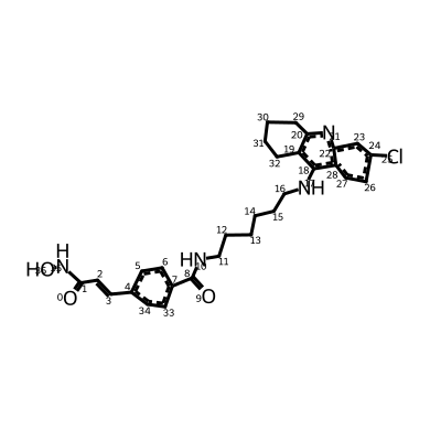 O=C(C=Cc1ccc(C(=O)NCCCCCCNc2c3c(nc4cc(Cl)ccc24)CCCC3)cc1)NO